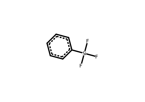 F[Si](F)(F)c1ccccc1